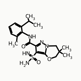 Cc1cccc(C(C)C)c1NC(=O)c1nn2c(c1S(=N)(N)=O)OCC(C)(C)C2